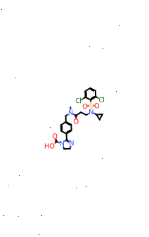 CN(Cc1ccc(C2=NCCN2C(=O)O)cc1)C(=O)CCN(C1CC1)S(=O)(=O)c1c(Cl)cccc1Cl